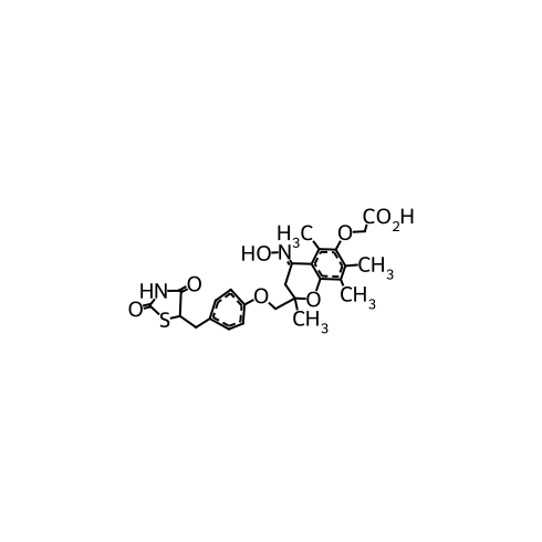 Cc1c(C)c2c(c(C)c1OCC(=O)O)C(=NO)CC(C)(COc1ccc(CC3SC(=O)NC3=O)cc1)O2